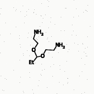 CCC(OCCN)OCCN